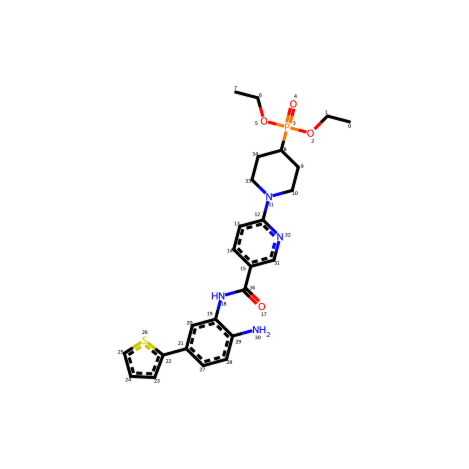 CCOP(=O)(OCC)C1CCN(c2ccc(C(=O)Nc3cc(-c4cccs4)ccc3N)cn2)CC1